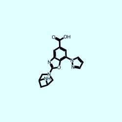 O=C(O)c1cc(-n2cccn2)c2oc(N3CC4CC(C3)N4)nc2c1